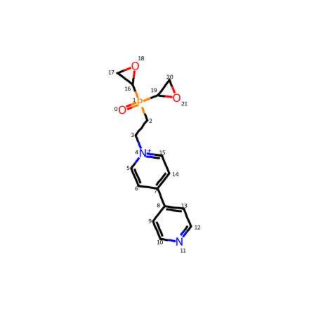 O=P(CC[n+]1ccc(-c2ccncc2)cc1)(C1CO1)C1CO1